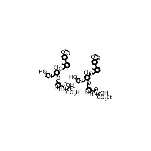 CCOC(=O)[C@H](CO)NC(=O)c1cncc(COc2cc(OCc3cccc(-c4ccc5c(c4)OCCO5)c3C)c(Cl)cc2CN2CC[C@H](O)C2)c1.CC[C@H](O)C(NC(=O)c1cncc(COc2cc(OCc3cccc(-c4ccc5c(c4)OCCO5)c3C)c(Cl)cc2CN2CC[C@H](O)C2)c1)C(=O)O